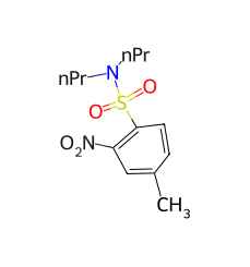 CCCN(CCC)S(=O)(=O)c1ccc(C)cc1[N+](=O)[O-]